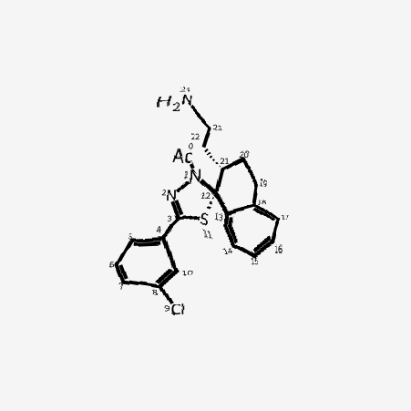 CC(=O)N1N=C(c2cccc(Cl)c2)S[C@]12c1ccccc1CC[C@H]2CCN